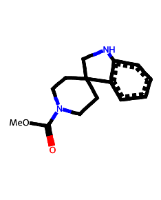 COC(=O)N1CCC2(CC1)CNc1ccccc12